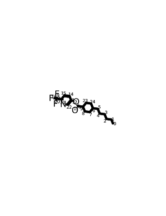 CCCCCCC1CCC(C(=O)Oc2ccc(C(F)(F)F)nc2)CC1